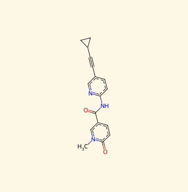 Cn1cc(C(=O)Nc2ccc(C#CC3CC3)cn2)ccc1=O